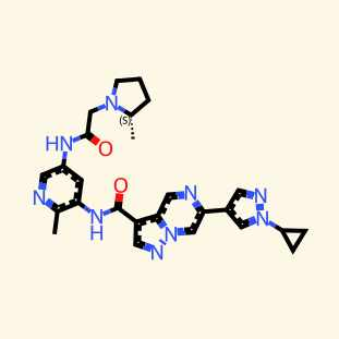 Cc1ncc(NC(=O)CN2CCC[C@@H]2C)cc1NC(=O)c1cnn2cc(-c3cnn(C4CC4)c3)ncc12